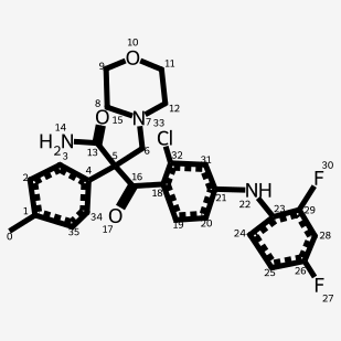 Cc1ccc(C(CN2CCOCC2)(C(N)=O)C(=O)c2ccc(Nc3ccc(F)cc3F)cc2Cl)cc1